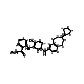 CNC(=O)c1ncccc1Nc1nc(Nc2ccc3c(c2)CCC(N2CCCC2)CC3)ncc1Cl